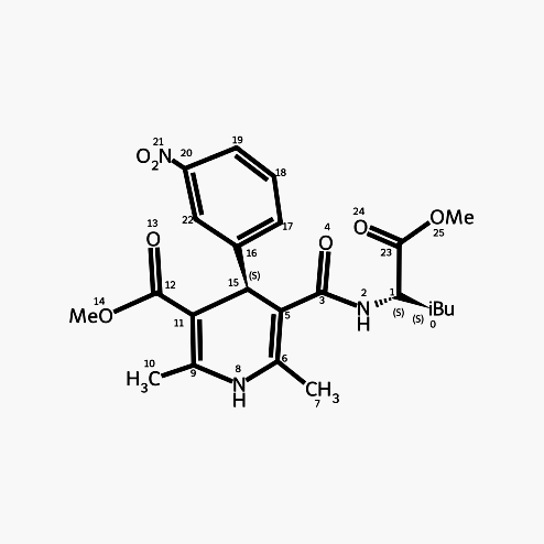 CC[C@H](C)[C@H](NC(=O)C1=C(C)NC(C)=C(C(=O)OC)[C@H]1c1cccc([N+](=O)[O-])c1)C(=O)OC